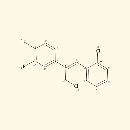 Fc1ccc(/C(=C/c2ccccc2Cl)CCl)cc1F